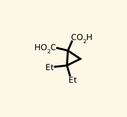 CCC1(CC)CC1(C(=O)O)C(=O)O